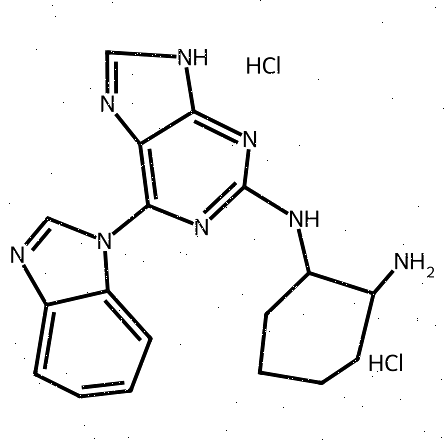 Cl.Cl.NC1CCCCC1Nc1nc(-n2cnc3ccccc32)c2nc[nH]c2n1